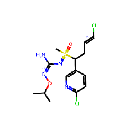 CC(C)O/N=C(/N)N=S(C)(=O)C(C/C=C/Cl)c1ccc(Cl)nc1